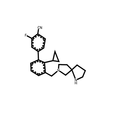 N#Cc1ccc(-c2cccc(CN3CCC4(CCCN4)C3)c2C2CC2)cc1F